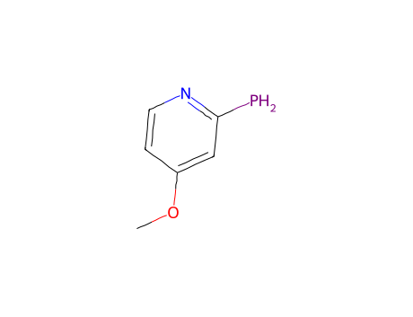 COc1ccnc(P)c1